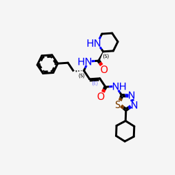 O=C(/C=C/[C@H](CCc1ccccc1)NC(=O)[C@@H]1CCCCN1)Nc1nnc(C2CCCCC2)s1